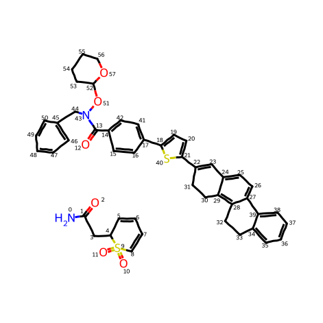 NC(=O)CC1C=CC=CS1(=O)=O.O=C(c1ccc(-c2ccc(C3=Cc4ccc5c(c4CC3)CCc3ccccc3-5)s2)cc1)N(Cc1ccccc1)OC1CCCCO1